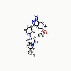 CC(C)Oc1cc2c(-c3ccnc(N4CCn5cc(C(F)(F)F)nc5C4)c3)n[nH]c2cn1